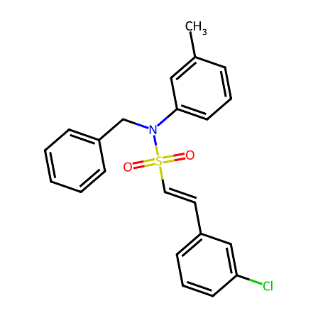 Cc1cccc(N(Cc2ccccc2)S(=O)(=O)/C=C/c2cccc(Cl)c2)c1